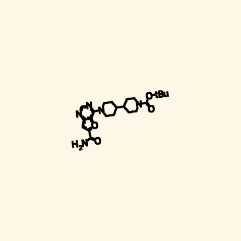 CC(C)(C)OC(=O)N1CCC(C2CCN(c3ncnc4cc(C(N)=O)oc34)CC2)CC1